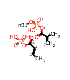 C=C(C)C(=O)OP(=O)(O)OCCCC.CC=CC(=O)OP(=O)(O)O